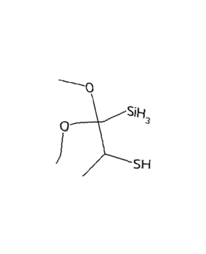 COC([SiH3])(OC)C(C)S